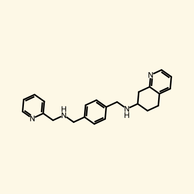 c1ccc(CNCc2ccc(CNC3CCc4cccnc4C3)cc2)nc1